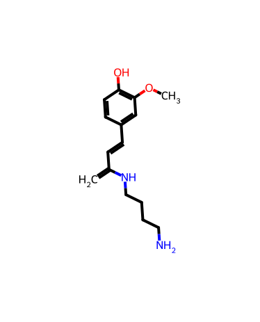 C=C(/C=C/c1ccc(O)c(OC)c1)NCCCCN